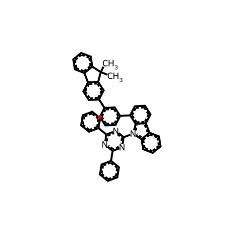 CC1(C)c2ccccc2-c2ccc(-c3cccc(-c4cccc5c6ccccc6n(-c6nc(-c7ccccc7)nc(-c7ccccc7)n6)c45)c3)cc21